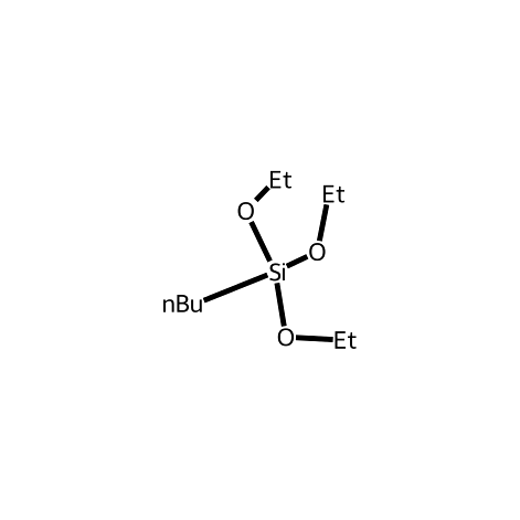 CCCC[Si](OCC)(OCC)OCC